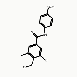 CCOc1c(C)cc(C(=O)Nc2ccc(C(=O)O)cc2)cc1Cl